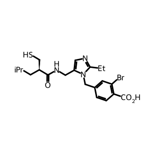 CCc1ncc(CNC(=O)[C@H](CS)CC(C)C)n1Cc1ccc(C(=O)O)c(Br)c1